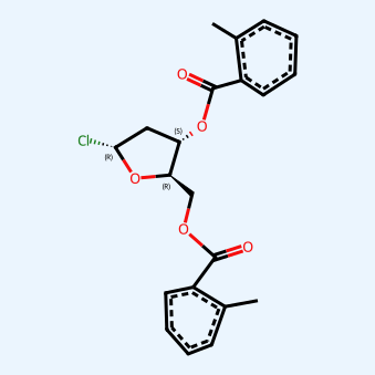 Cc1ccccc1C(=O)OC[C@H]1O[C@H](Cl)C[C@@H]1OC(=O)c1ccccc1C